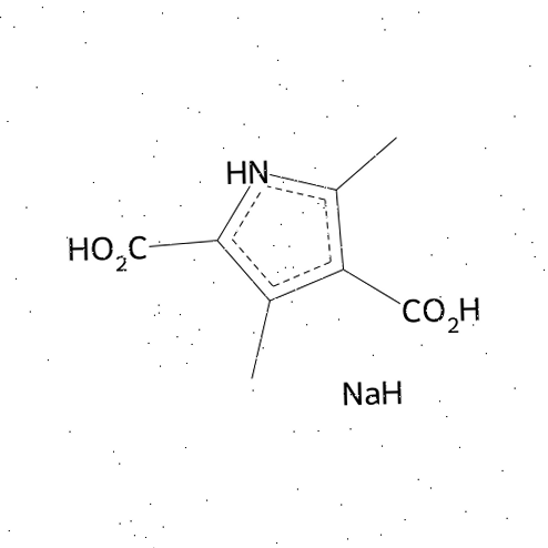 Cc1[nH]c(C(=O)O)c(C)c1C(=O)O.[NaH]